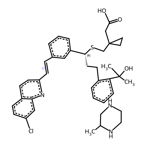 CC(C)(O)c1ccccc1CC[C@@H](SCC1(CC(=O)O)CC1)c1cccc(/C=C/c2ccc3ccc(Cl)cc3n2)c1.CC1CNCCN1